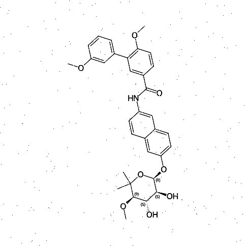 COc1cccc(-c2cc(C(=O)Nc3ccc4cc(O[C@@H]5OC(C)(C)[C@H](OC)[C@@H](O)[C@@H]5O)ccc4c3)ccc2OC)c1